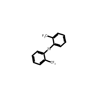 FC(F)(F)c1cccc[c]1[Zn][c]1ccccc1C(F)(F)F